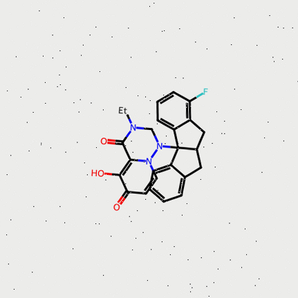 CCN1CN(C23c4ccccc4CC2Cc2c(F)cccc23)n2ccc(=O)c(O)c2C1=O